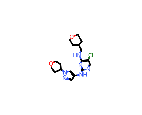 Clc1cnc(Nc2cnn(C3CCOCC3)c2)nc1NCC1CCOCC1